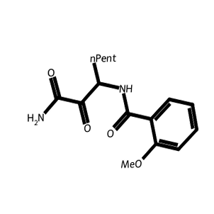 CCCCCC(NC(=O)c1ccccc1OC)C(=O)C(N)=O